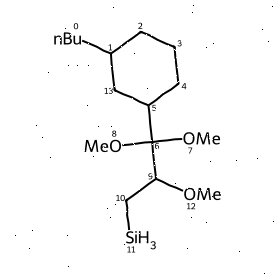 CCCCC1CCCC(C(OC)(OC)C(C[SiH3])OC)C1